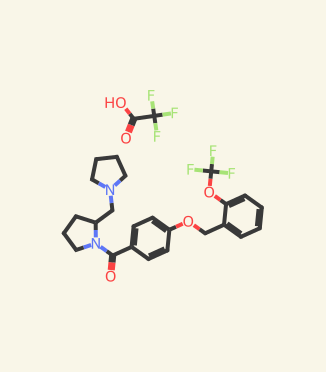 O=C(O)C(F)(F)F.O=C(c1ccc(OCc2ccccc2OC(F)(F)F)cc1)N1CCCC1CN1CCCC1